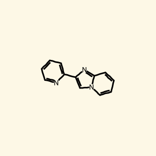 c1ccc(-c2cn3ccccc3n2)nc1